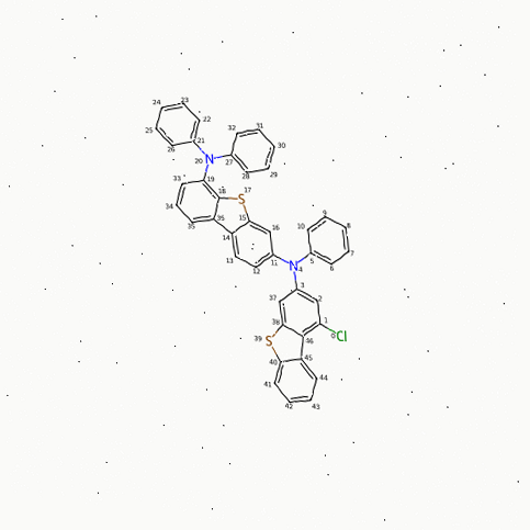 Clc1cc(N(c2ccccc2)c2ccc3c(c2)sc2c(N(c4ccccc4)c4ccccc4)cccc23)cc2sc3ccccc3c12